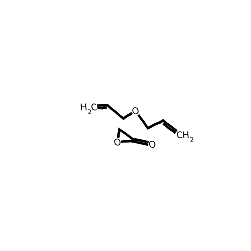 C=CCOCC=C.O=C1CO1